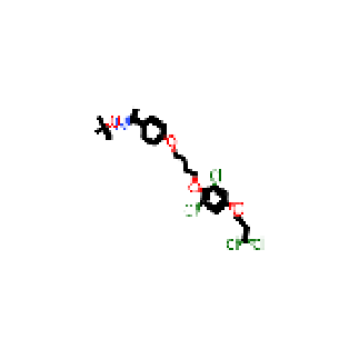 CC(=NOC(C)(C)C)c1ccc(OCCCCOc2c(Cl)cc(OCC=C(Cl)Cl)cc2Cl)cc1